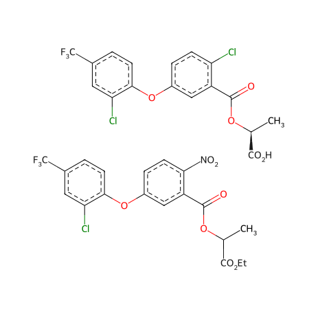 CCOC(=O)C(C)OC(=O)c1cc(Oc2ccc(C(F)(F)F)cc2Cl)ccc1[N+](=O)[O-].C[C@H](OC(=O)c1cc(Oc2ccc(C(F)(F)F)cc2Cl)ccc1Cl)C(=O)O